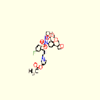 COC(=O)c1c(NS(=O)(=O)c2ccc(F)cc2/C=C\CN2CC[C@H](OC(C)=O)C2)ccc2c1OCc1occc1-2